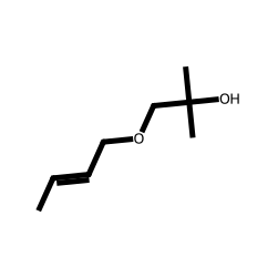 CC=CCOCC(C)(C)O